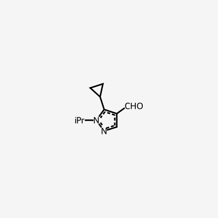 CC(C)n1ncc(C=O)c1C1CC1